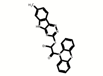 CCC(Sc1nnc2c(n1)[nH]c1cc(C)ccc12)C(=O)N1c2ccccc2Sc2ccccc21